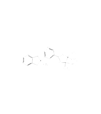 CC1(C)OB(c2cncc(C3(C#N)Cc4ccccc4C3)c2)OC1(C)C